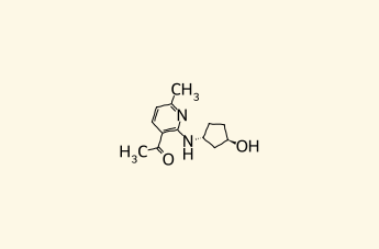 CC(=O)c1ccc(C)nc1N[C@@H]1CC[C@@H](O)C1